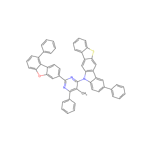 Cc1c(-c2ccccc2)nc(-c2ccc3c(c2)oc2cccc(-c4ccccc4)c23)nc1-n1c2ccc(-c3ccccc3)cc2c2cc3sc4ccccc4c3cc21